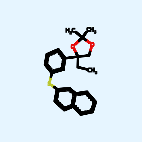 CCC1(c2cccc(Sc3ccc4ccccc4c3)c2)COC(C)(C)O1